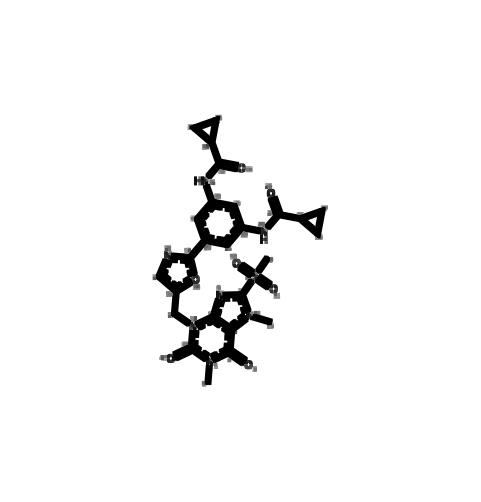 Cn1c(=O)c2c(nc(S(C)(=O)=O)n2C)n(Cc2cnc(-c3cc(NC(=O)C4CC4)cc(NC(=O)C4CC4)c3)o2)c1=O